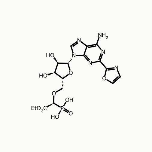 CCOC(=O)[C@@H](OC[C@H]1O[C@@H](n2cnc3c(N)nc(-c4ncco4)nc32)[C@H](O)[C@@H]1O)P(=O)(O)O